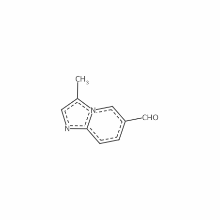 Cc1cnc2ccc(C=O)cn12